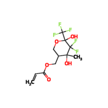 C=CC(=O)OCC1COC(O)(C(F)(F)F)C(F)(F)C1(C)O